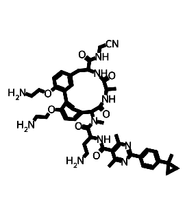 Cc1nc(-c2ccc(C3(C)CC3)cc2)nc(C)c1C(=O)NC(CCN)C(=O)N(C)C1C(=O)NC(C)C(=O)NC(C(=O)NCC#N)Cc2ccc(OCCN)c(c2)-c2cc1ccc2OCCN